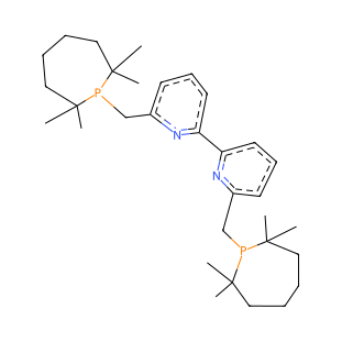 CC1(C)CCCCC(C)(C)P1Cc1cccc(-c2cccc(CP3C(C)(C)CCCCC3(C)C)n2)n1